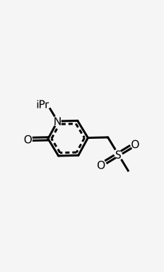 CC(C)n1cc(CS(C)(=O)=O)ccc1=O